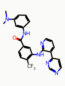 CN(C)c1cccc(NC(=O)c2ccc(C(F)(F)F)c(Nc3ncccc3-c3ccncn3)c2)c1